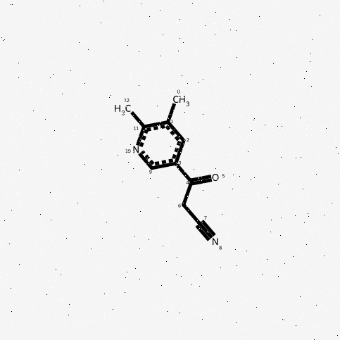 Cc1cc(C(=O)CC#N)cnc1C